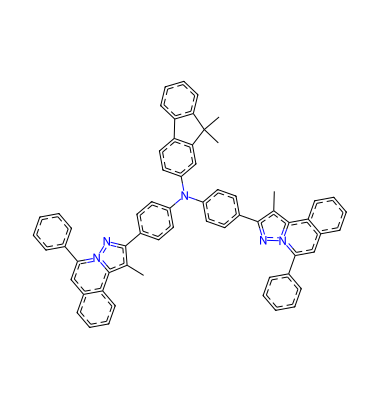 Cc1c(-c2ccc(N(c3ccc(-c4nn5c(-c6ccccc6)cc6ccccc6c5c4C)cc3)c3ccc4c(c3)C(C)(C)c3ccccc3-4)cc2)nn2c(-c3ccccc3)cc3ccccc3c12